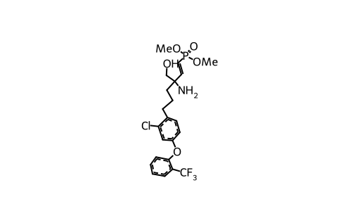 COP(=O)(/C=C/C(N)(CO)CCCc1ccc(Oc2ccccc2C(F)(F)F)cc1Cl)OC